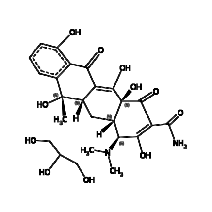 CN(C)[C@@H]1C(O)=C(C(N)=O)C(=O)[C@@]2(O)C(O)=C3C(=O)c4c(O)cccc4[C@@](C)(O)[C@H]3C[C@@H]12.OCC(O)CO